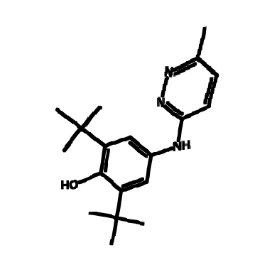 Cc1ccc(Nc2cc(C(C)(C)C)c(O)c(C(C)(C)C)c2)nn1